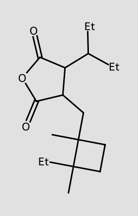 CCC(CC)C1C(=O)OC(=O)C1CC1(C)CCC1(C)CC